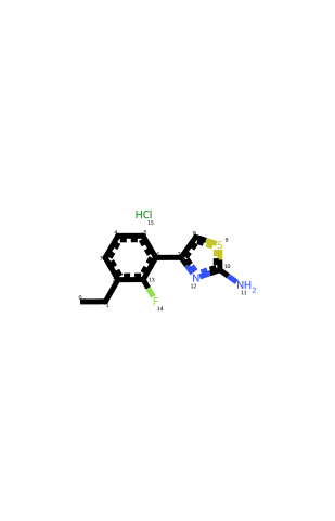 CCc1cccc(-c2csc(N)n2)c1F.Cl